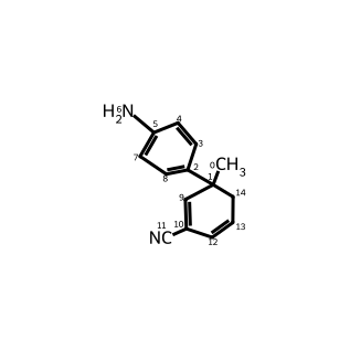 CC1(c2ccc(N)cc2)C=C(C#N)C=CC1